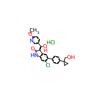 COc1ccc(C(O)=C2C(=O)Nc3cc(Cl)c(-c4ccc(C5(CO)CC5)cc4)cc32)cn1.Cl